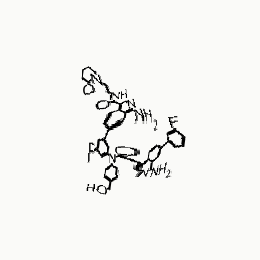 Nc1ncc(C(=O)NCCN2CCCCC2=O)c2ccc(-c3cc(F)cc(N(C(=O)c4cnc(N)c5cc(-c6cccc(F)c6)ccc45)C4=CC=C(CO)CC4)c3)cc12